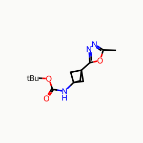 Cc1nnc(C23CC(NC(=O)OC(C)(C)C)(C2)C3)o1